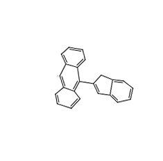 [c]1c2ccccc2c(C2=Cc3ccccc3C2)c2ccccc12